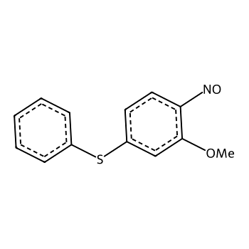 COc1cc(Sc2ccccc2)ccc1N=O